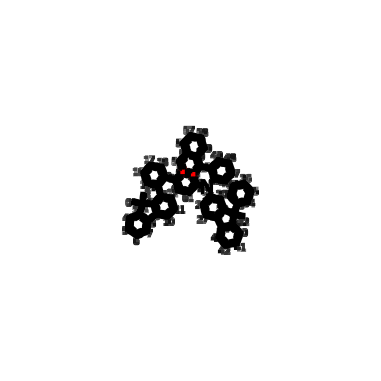 CC1(C)c2ccccc2-c2cccc(-c3ccccc3-c3ccc(N(c4ccc5c(c4)C(C)(c4ccccc4)c4ccccc4-5)c4ccccc4-c4cccc5ccccc45)cc3)c21